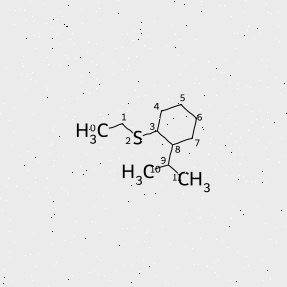 CCSC1CCCCC1C(C)C